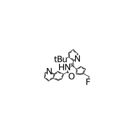 CC(C)(C)c1cccnc1[C@@H](NC(=O)c1ccc2cccnc2c1)c1ccc(CF)cc1